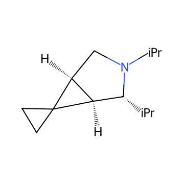 CC(C)[C@@H]1[C@@H]2[C@H](CN1C(C)C)C21CC1